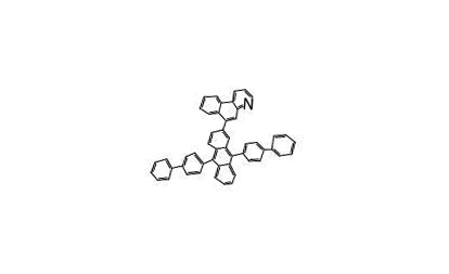 c1ccc(-c2ccc(-c3c4ccccc4c(-c4ccc(-c5ccccc5)cc4)c4cc(-c5cc6ncccc6c6ccccc56)ccc34)cc2)cc1